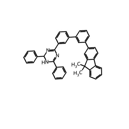 CC1(C)c2ccccc2-c2ccc(-c3cccc(-c4cccc(C5=NC(c6ccccc6)NC(c6ccccc6)=N5)c4)c3)cc21